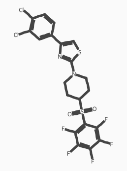 O=S(=O)(c1c(F)c(F)c(F)c(F)c1F)C1CCN(c2nc(-c3ccc(Cl)c(Cl)c3)cs2)CC1